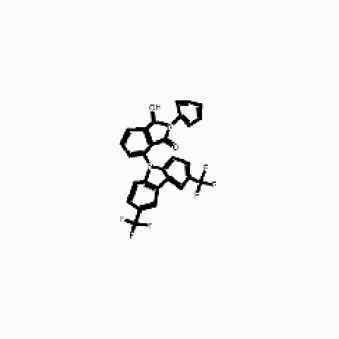 O=C1c2c(cccc2-n2c3ccc(C(F)(F)F)cc3c3cc(C(F)(F)F)ccc32)C(O)N1c1ccccc1